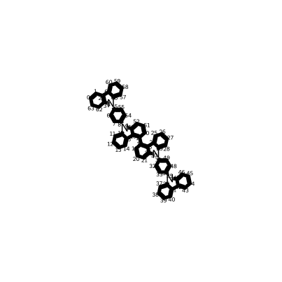 C1=Cc2c(n(-c3ccc(-n4c5ccccc5c5c(-c6cccc7c6c6ccccc6n7-c6ccc(-n7c8ccccc8c8ccccc87)cc6)cccc54)cc3)c3ccccc23)CC1